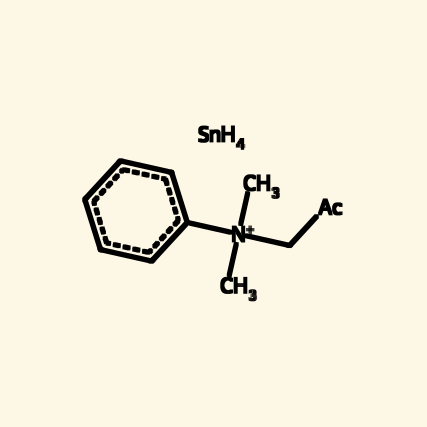 CC(=O)C[N+](C)(C)c1ccccc1.[SnH4]